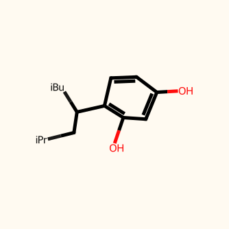 CCC(C)C(CC(C)C)c1ccc(O)cc1O